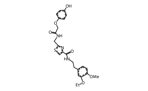 CCOc1cc(CCNC(=O)c2csc(CNC(=O)COc3ccc(O)cc3)n2)ccc1OC